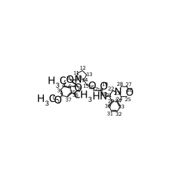 COc1cc(C)c(S(=O)(=O)N2CCCC2COCC(=O)NC(CN2CCOCC2)c2ccccc2)c(C)c1